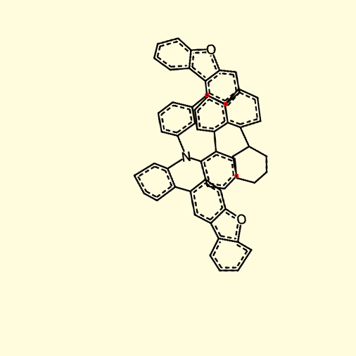 c1cc(-c2cccc3oc4ccccc4c23)cc(N(c2ccccc2-c2ccc3oc4ccccc4c3c2)c2ccccc2-c2cccc3cccc(C4CCCCC4)c23)c1